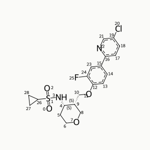 O=S(=O)(N[C@H]1CCOC[C@H]1COc1ccc(-c2ccc(Cl)cn2)cc1F)C1CC1